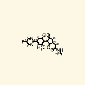 Cc1cc(-c2ncc(F)cn2)cc(C)c1C1C(=O)CC(CC(=O)NC(C)C)C1=O